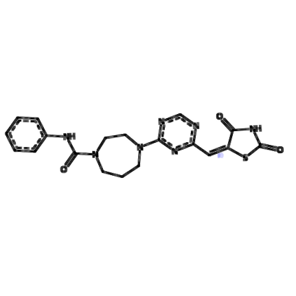 O=C1NC(=O)/C(=C\c2ncnc(N3CCCN(C(=O)Nc4ccccc4)CC3)n2)S1